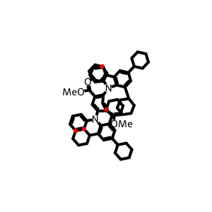 COC(=O)c1cc(N(c2ccccc2)c2c(C3CCCCC3)cc(C3CCCCC3)cc2C2CCCCC2)c2cc1N(c1ccccc1)c1c(C3CCCCC3)cc(C3CCCCC3)cc1C1CCC(=C2OC)CC1